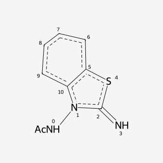 CC(=O)Nn1c(=N)sc2ccccc21